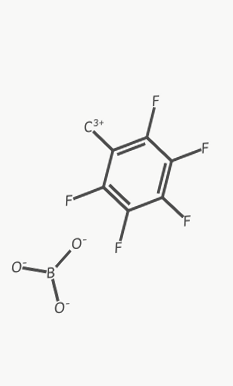 [C+3]c1c(F)c(F)c(F)c(F)c1F.[O-]B([O-])[O-]